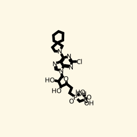 O=P(O)(O)CP(=O)(O)CCC1OC(n2cnc3c(N4CCC5(CCCCC5)C4)nc(Cl)nc32)C(O)C1O